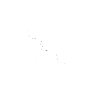 CC[CH]/C(C)=C/CC